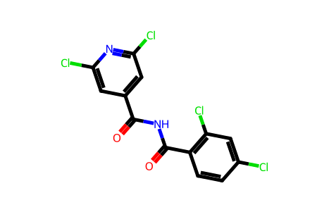 O=C(NC(=O)c1ccc(Cl)cc1Cl)c1cc(Cl)nc(Cl)c1